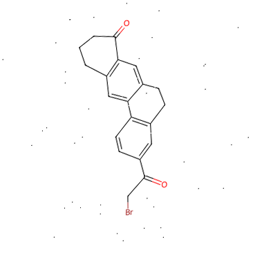 O=C(CBr)c1ccc2c(c1)CCc1cc3c(cc1-2)CCCC3=O